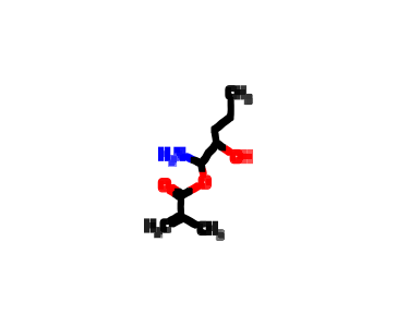 C=C(C)C(=O)OC(N)C(O)CCC